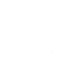 C=CC(=O)OC(=O)c1ccccc1N